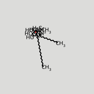 CCCCCCCCCCCCCCCCCCN(C(=O)CCCCCCCCCCC)[C@@]1(N[C@@](N)(CC(C)C)C(=O)O)C[C@@H](O)[C@H](O)[C@@H](CO)O1